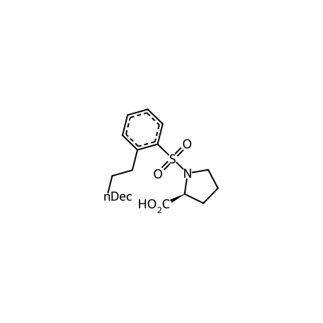 CCCCCCCCCCCCc1ccccc1S(=O)(=O)N1CCC[C@H]1C(=O)O